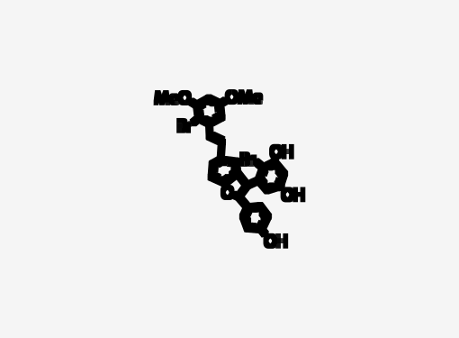 COc1cc(/C=C/c2ccc3c(c2)C(c2cc(O)cc(O)c2Br)C(c2ccc(O)cc2)O3)c(Br)c(OC)c1